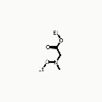 CCOC(=O)CN(C)OCC